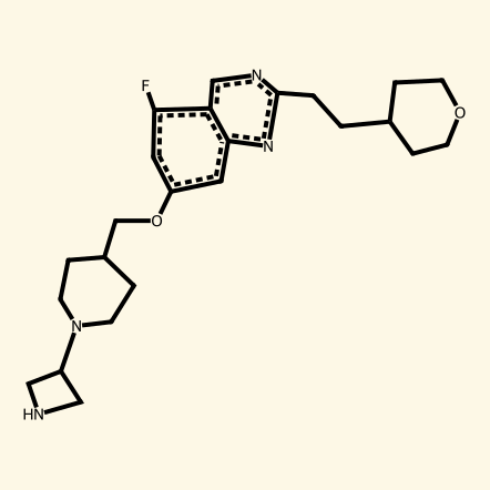 Fc1cc(OCC2CCN(C3CNC3)CC2)cc2nc(CCC3CCOCC3)ncc12